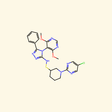 COc1ncnc(OC)c1-n1c(NSC2CCCN(c3ncc(Cl)cn3)C2)nnc1-c1ccccc1